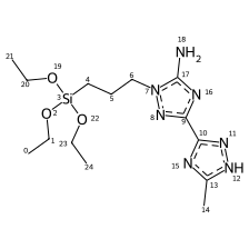 CCO[Si](CCCn1nc(-c2n[nH]c(C)n2)nc1N)(OCC)OCC